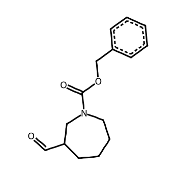 O=CC1CCCCN(C(=O)OCc2ccccc2)C1